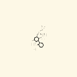 Cc1cc(C(=O)NCCN(C)C)c(C(N)=O)c2c1[nH]c1c(O)cccc12